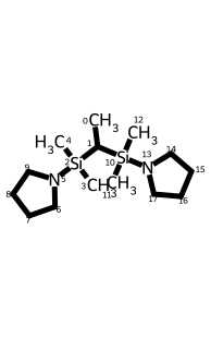 CC([Si](C)(C)N1CCCC1)[Si](C)(C)N1CCCC1